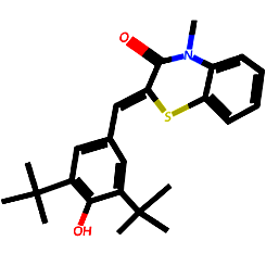 CN1C(=O)C(=Cc2cc(C(C)(C)C)c(O)c(C(C)(C)C)c2)Sc2ccccc21